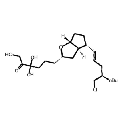 CCCC[C@@H](CCl)CC=C[C@H]1CC[C@H]2O[C@@H](CCCC(O)(O)C(=O)CO)C[C@H]12